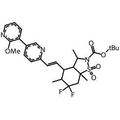 COc1ncccc1-c1ccc(/C=C/C2C(C)C(F)(F)CC3(C)C2C(C)N(C(=O)OC(C)(C)C)S3(=O)=O)nc1